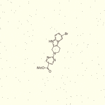 COC(=O)c1cnc(N2CCc3c([nH]c4ccc(Br)cc34)C2)nc1